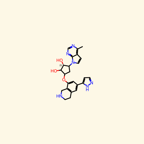 Cc1ncnc2c1ccn2C1CC(Oc2cc(-c3ccn[nH]3)cc3c2CNCC3)C(O)[C@H]1O